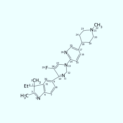 CCC1(C)C(C)=Nc2ccc(C3=NCN(c4ccc(C5CCN(C)CC5)cn4)C=C3F)cc21